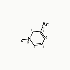 CC(=O)C1=CC=CN(C)C1